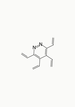 C=Cc1nnc(C=C)c(C=C)c1C=C